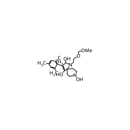 COCOCCN1C(O)C(c2c(C)cc(C)cc2C)=C(O)C12CCN(O)CC2